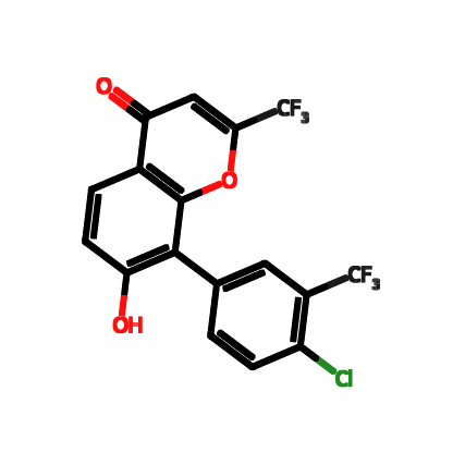 O=c1cc(C(F)(F)F)oc2c(-c3ccc(Cl)c(C(F)(F)F)c3)c(O)ccc12